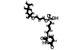 CC(C)C(C)(C)CC(C)(C)OCCCOP(=O)(O)C/C=C/Cn1ccc(=O)[nH]c1=O